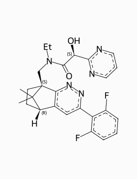 CCN(C[C@@]12CC[C@@H](c3cc(-c4c(F)cccc4F)nnc31)C2(C)C)C(=O)[C@@H](O)c1ncccn1